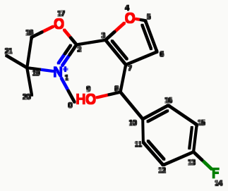 C[N+]1=C(c2occc2C(O)c2ccc(F)cc2)OCC1(C)C